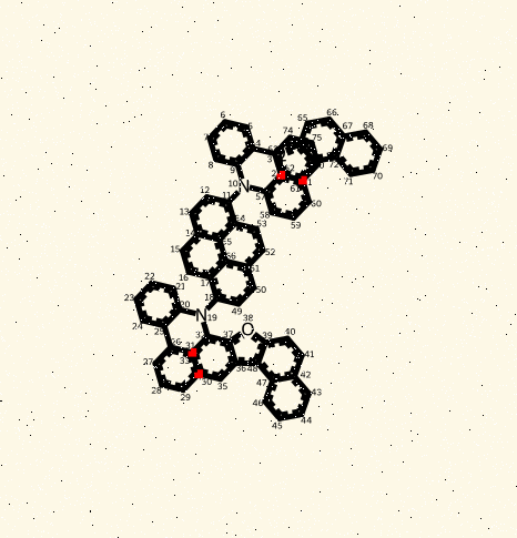 c1ccc(-c2ccccc2N(c2ccc3ccc4c(N(c5ccccc5-c5ccccc5)c5cccc6c5oc5ccc7ccccc7c56)ccc5ccc2c3c54)c2cccc3c2oc2ccc4ccccc4c23)cc1